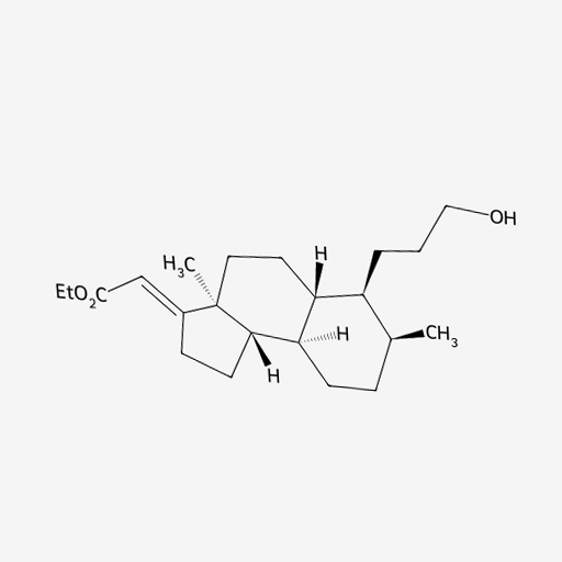 CCOC(=O)/C=C1\CC[C@H]2[C@@H]3CC[C@H](C)[C@H](CCCO)[C@H]3CC[C@]12C